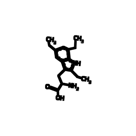 CCc1cc(CC)c2[nH]c(CC)c(CC(N)C(=O)O)c2c1